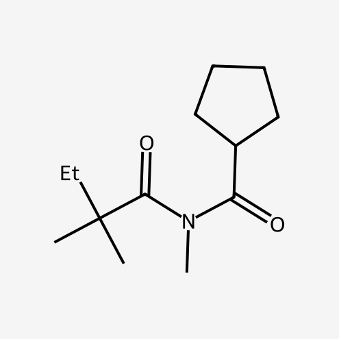 CCC(C)(C)C(=O)N(C)C(=O)C1CCCC1